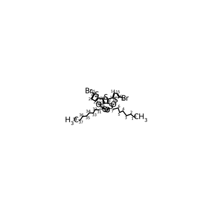 CCCCCCCCS(=O)(=O)c1c(-c2ccc(Br)s2)sc(-c2ccc(Br)s2)c1S(=O)(=O)CCCCCCCC